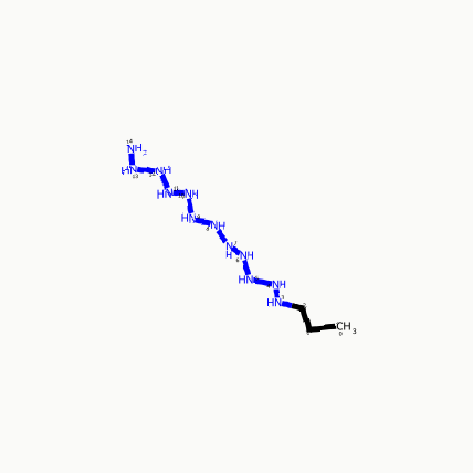 CCCNNNNNNNNNNNN